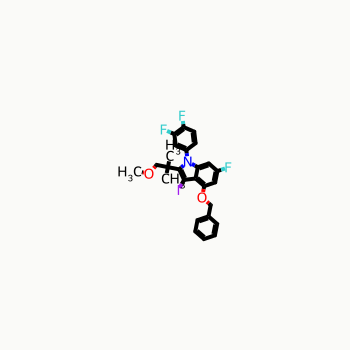 COCC(C)(C)c1c(I)c2c(OCc3ccccc3)cc(F)cc2n1-c1ccc(F)c(F)c1